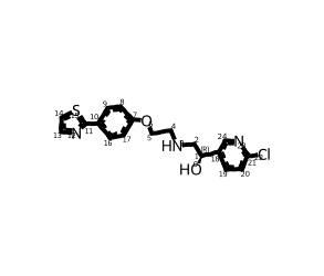 O[C@@H](CNCCOc1ccc(-c2nccs2)cc1)c1ccc(Cl)nc1